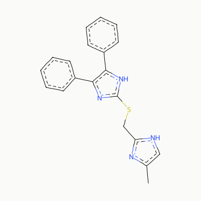 Cc1c[nH]c(CSc2nc(-c3ccccc3)c(-c3ccccc3)[nH]2)n1